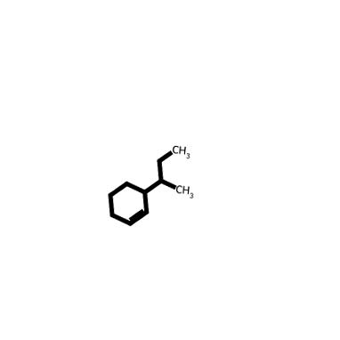 CCC(C)C1C=CCCC1